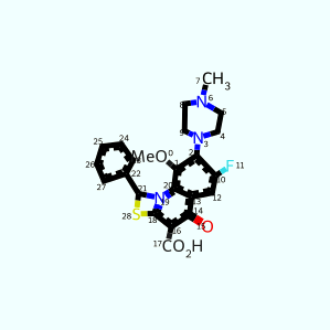 COc1c(N2CCN(C)CC2)c(F)cc2c(=O)c(C(=O)O)c3n(c12)C(c1ccccc1)S3